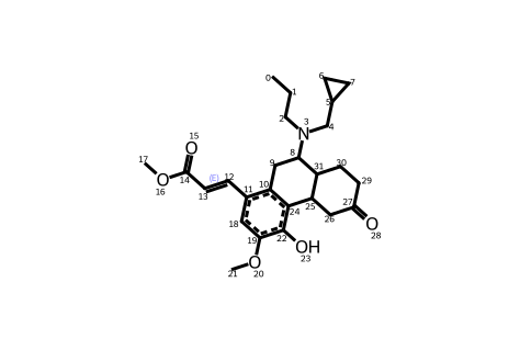 CCCN(CC1CC1)C1Cc2c(/C=C/C(=O)OC)cc(OC)c(O)c2C2CC(=O)CCC21